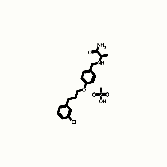 CC(NCc1ccc(OCCCc2cccc(Cl)c2)cc1)C(N)=O.CS(=O)(=O)O